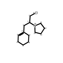 ClCC(CC1=CCCCC1)N1CCCC1